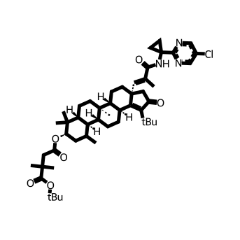 C/C(=C\[C@@]12CC[C@@H]3[C@H](CC[C@@H]4[C@H]5C(C)C[C@H](OC(=O)CC(C)(C)C(=O)OC(C)(C)C)C(C)(C)[C@@H]5CC[C@]43C)C1=C(C(C)(C)C)C(=O)C2)C(=O)NC1(c2ncc(Cl)cn2)CC1